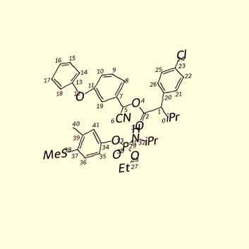 CC(C)C(C(=O)OC(C#N)c1cccc(Oc2ccccc2)c1)c1ccc(Cl)cc1.CCOP(=O)(NC(C)C)Oc1ccc(SC)c(C)c1